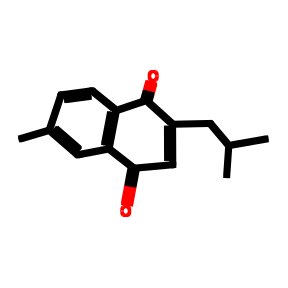 Cc1ccc2c(c1)C(=O)C=C(CC(C)C)C2=O